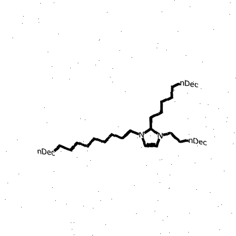 CCCCCCCCCCCCCCCCCCCN1C=CN(CCCCCCCCCCCC)C1CCCCCCCCCCCCCCC